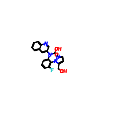 O=C(O)N(c1cnc2ccccc2c1)c1cccc(F)c1-n1nccc1CO